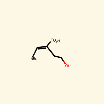 CCCCC=C(CCO)C(=O)O